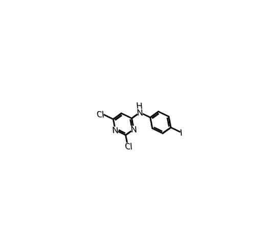 Clc1cc(Nc2ccc(I)cc2)nc(Cl)n1